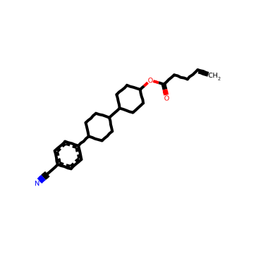 C=CCCC(=O)OC1CCC(C2CCC(c3ccc(C#N)cc3)CC2)CC1